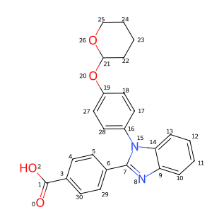 O=C(O)c1ccc(-c2nc3ccccc3n2-c2ccc(OC3CCCCO3)cc2)cc1